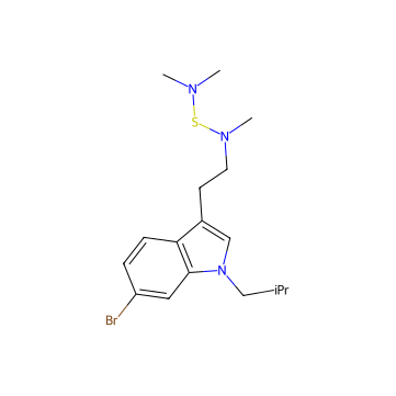 CC(C)Cn1cc(CCN(C)SN(C)C)c2ccc(Br)cc21